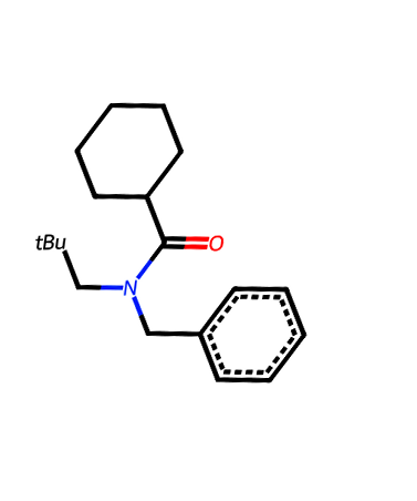 CC(C)(C)CN(Cc1ccccc1)C(=O)C1CCCCC1